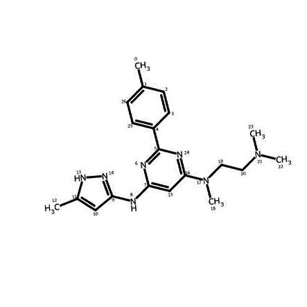 Cc1ccc(-c2nc(Nc3cc(C)[nH]n3)cc(N(C)CCN(C)C)n2)cc1